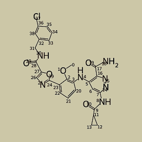 COc1c(Nc2cc(NC(=O)C3CC3)nnc2C(N)=O)cccc1-c1ncc(C(=O)NCc2cccc(Cl)c2)o1